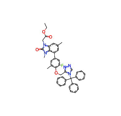 CCOC(=O)Cn1c(=O)n(C)c2c(-c3cc(C)c(OCc4nncn4C(c4ccccc4)(c4ccccc4)c4ccccc4)c(F)c3)cc(C)cc21